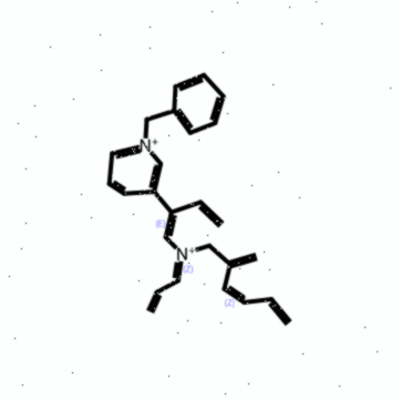 C=C/C=C\C(=C)C[N+](=C/C=C)/C=C(\C=C)c1ccc[n+](Cc2ccccc2)c1